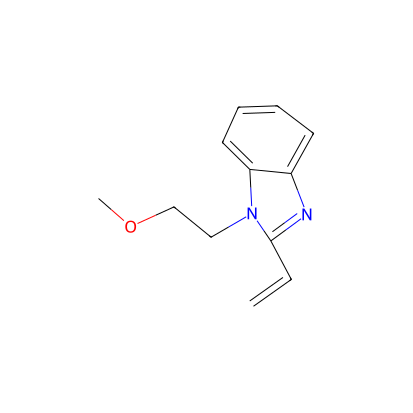 C=Cc1nc2ccccc2n1CCOC